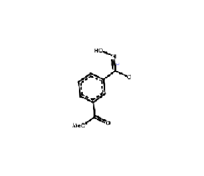 COC(=O)c1cccc(/C(Cl)=N\O)c1